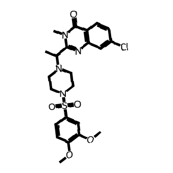 COc1ccc(S(=O)(=O)N2CCN(C(C)c3nc4cc(Cl)ccc4c(=O)n3C)CC2)cc1OC